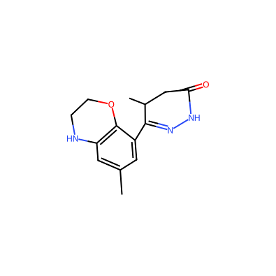 Cc1cc2c(c(C3=NNC(=O)CC3C)c1)OCCN2